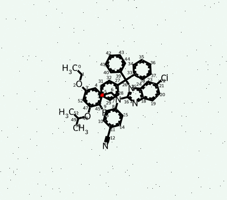 CCOc1cc(CN(c2ccc(C#N)cc2)c2nc3ccc(Cl)cc3n2C(c2ccccc2)(c2ccccc2)c2ccccc2)c(F)c(OC(C)C)c1